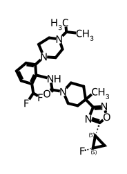 CC(C)N1CCN(c2cccc(C(F)F)c2NC(=O)N2CCC(C)(c3noc([C@@H]4C[C@@H]4F)n3)CC2)CC1